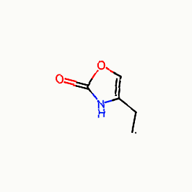 [CH2]Cc1coc(=O)[nH]1